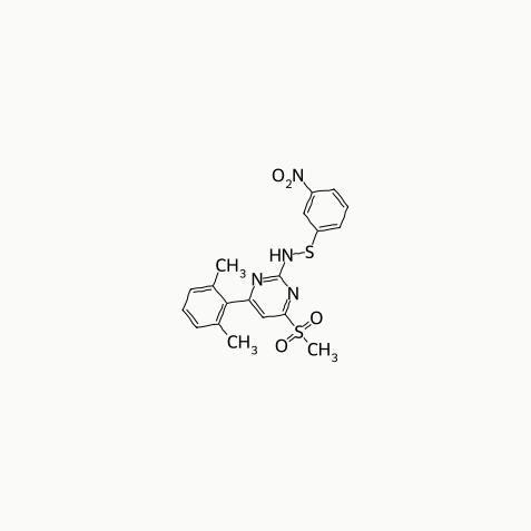 Cc1cccc(C)c1-c1cc(S(C)(=O)=O)nc(NSc2cccc([N+](=O)[O-])c2)n1